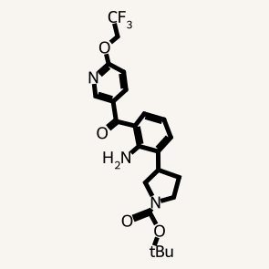 CC(C)(C)OC(=O)N1CCC(c2cccc(C(=O)c3ccc(OCC(F)(F)F)nc3)c2N)C1